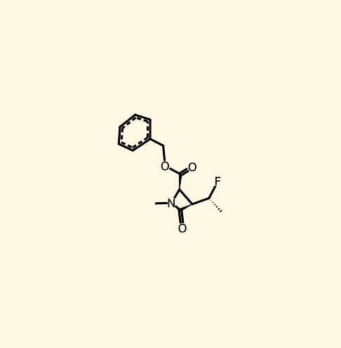 C[C@@H](F)[C@H]1C(=O)N(C)[C@H]1C(=O)OCc1ccccc1